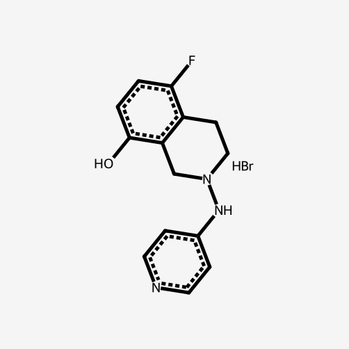 Br.Oc1ccc(F)c2c1CN(Nc1ccncc1)CC2